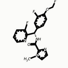 Cn1ccnc1C(=O)N[C@@H](c1ccc(OCF)c(F)c1)c1ncccc1F